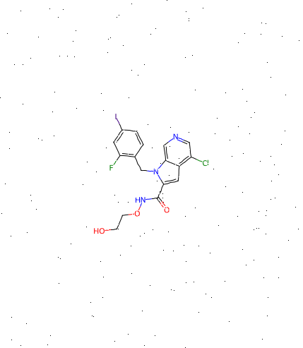 O=C(NOCCO)c1cc2c(Cl)cncc2n1Cc1ccc(I)cc1F